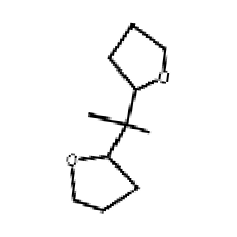 CC(C)(C1CCCO1)C1CCCO1